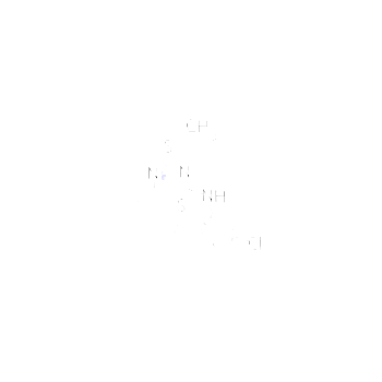 CC1CN(C(=S)Nc2cccc(Cl)c2)/C(=N\C2CCCCCCC2)S1